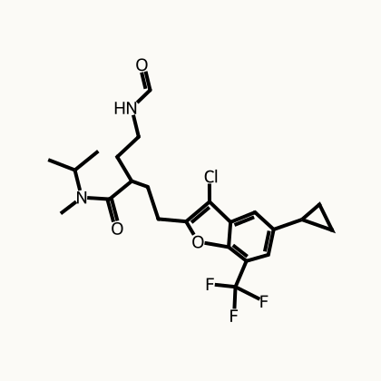 CC(C)N(C)C(=O)C(CCNC=O)CCc1oc2c(C(F)(F)F)cc(C3CC3)cc2c1Cl